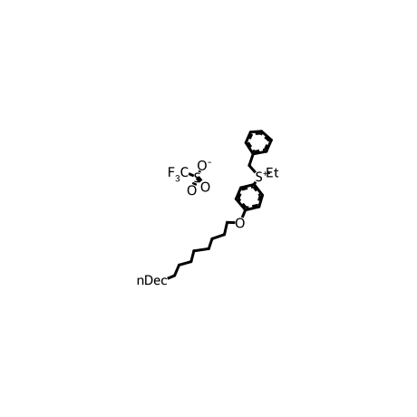 CCCCCCCCCCCCCCCCCCOc1ccc([S+](CC)Cc2ccccc2)cc1.O=S(=O)([O-])C(F)(F)F